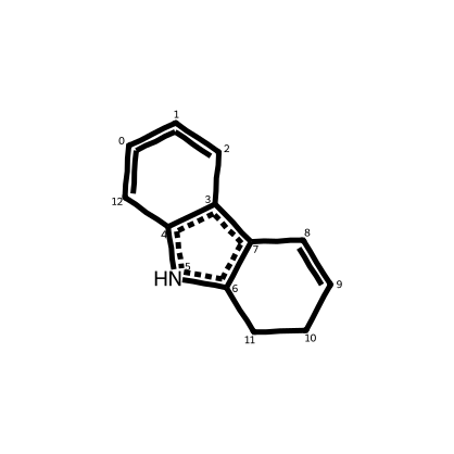 C1=C=Cc2c([nH]c3c2C=CCC3)C=1